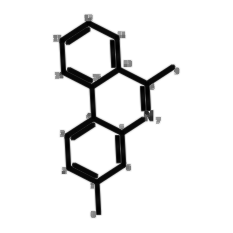 Cc1ccc2c(c1)nc(C)c1ccccc12